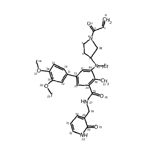 C=CC(=O)N1CCC(N(CC)c2cc(-c3ccc(OI)c(OI)c3)cc(C(=O)NCc3ccc[nH]c3=O)c2C)C1